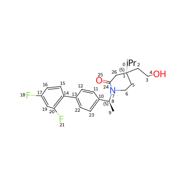 CC(C)[C@]1(CCO)CCN([C@@H](C)c2ccc(-c3ccc(F)cc3F)cc2)C(=O)C1